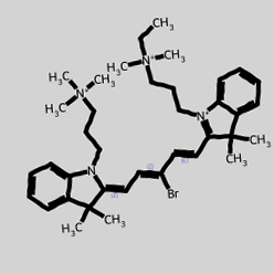 CC[N+](C)(C)CCC[N+]1=C(/C=C/C(Br)=C/C=C2\N(CCC[N+](C)(C)C)c3ccccc3C2(C)C)C(C)(C)c2ccccc21